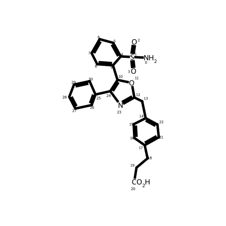 NS(=O)(=O)c1ccccc1-c1oc(Cc2ccc(CCC(=O)O)cc2)nc1-c1ccccc1